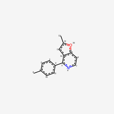 Cc1ccc(-c2nccc3oc(C)cc23)cc1